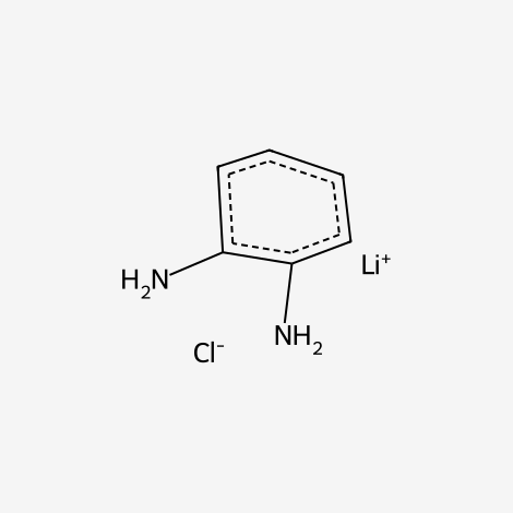 Nc1ccccc1N.[Cl-].[Li+]